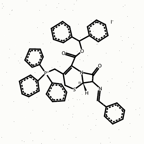 O=C(OC(c1ccccc1)c1ccccc1)C1=C(C[P+](c2ccccc2)(c2ccccc2)c2ccccc2)CS[C@H]2C(N=Cc3ccccc3)C(=O)N12.[I-]